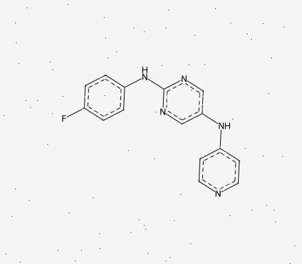 Fc1ccc(Nc2ncc(Nc3ccncc3)cn2)cc1